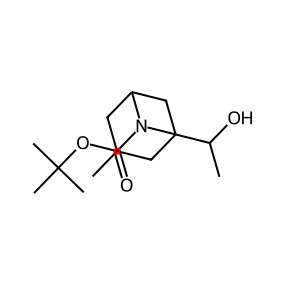 CC1CC2CC(C(C)O)(C1)N2C(=O)OC(C)(C)C